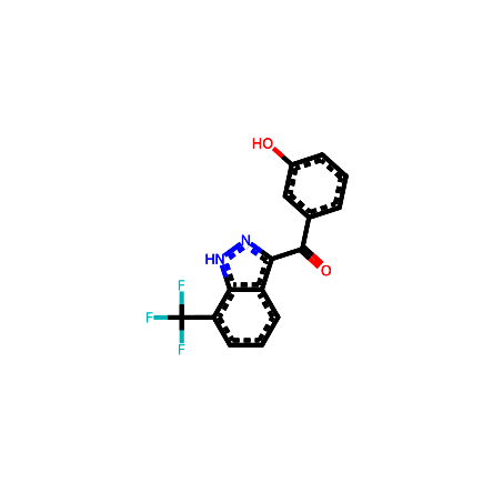 O=C(c1cccc(O)c1)c1n[nH]c2c(C(F)(F)F)cccc12